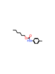 CCCCCCOC(=O)Nc1ccc(C)cc1